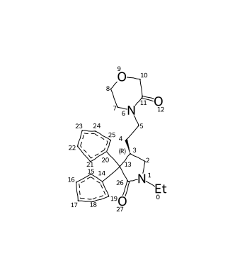 CCN1C[C@H](CCN2CCOCC2=O)C(c2ccccc2)(c2ccccc2)C1=O